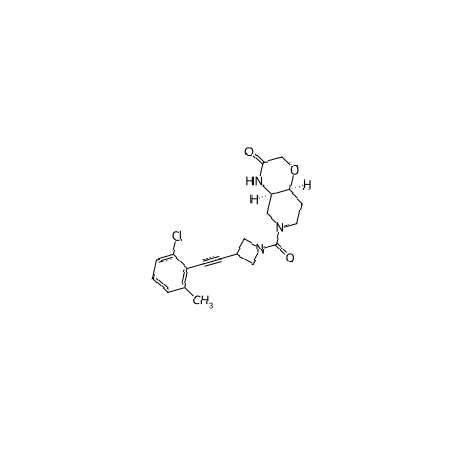 Cc1cccc(Cl)c1C#CC1CN(C(=O)N2CC[C@@H]3OCC(=O)N[C@@H]3C2)C1